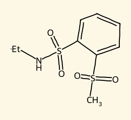 C[CH]NS(=O)(=O)c1ccccc1S(C)(=O)=O